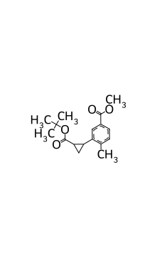 COC(=O)c1ccc(C)c(C2CC2C(=O)OC(C)(C)C)c1